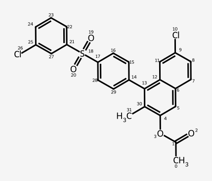 CC(=O)Oc1cc2ccc(Cl)cc2c(-c2ccc(S(=O)(=O)c3cccc(Cl)c3)cc2)c1C